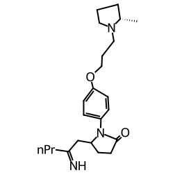 CCCC(=N)CC1CCC(=O)N1c1ccc(OCCCN2CCC[C@@H]2C)cc1